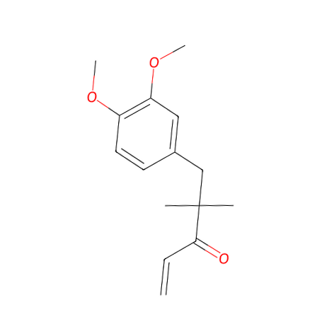 C=CC(=O)C(C)(C)Cc1ccc(OC)c(OC)c1